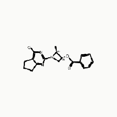 C[C@H]1[C@H](OC(=O)c2ccccc2)CN1c1nc(Cl)c2c(n1)CCC2